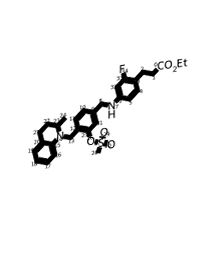 CCOC(=O)CCc1ccc(NCc2ccc(CN3c4ccccc4CCC3C)c(OS(C)(=O)=O)c2)cc1F